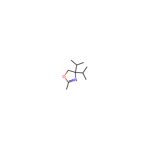 CC1=NC(C(C)C)(C(C)C)CO1